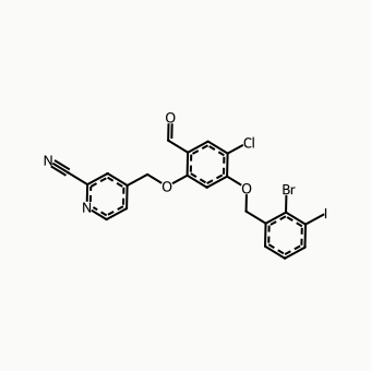 N#Cc1cc(COc2cc(OCc3cccc(I)c3Br)c(Cl)cc2C=O)ccn1